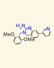 COc1cccc(OC)c1CN1Cc2ccc(-c3cccnc3)cc2N=C1N